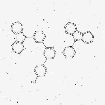 Oc1ccc(-c2cc(-c3cccc(-n4c5ccccc5c5ccccc54)c3)nc(-c3cccc(-n4c5ccccc5c5ccccc54)c3)c2)cc1